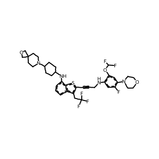 Fc1cc(NCC#Cc2sc3c(NC4CCC(N5CCC6(CC5)COC6)CC4)cccc3c2CC(F)(F)F)c(OC(F)F)cc1N1CCOCC1